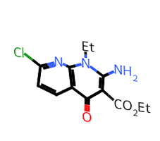 CCOC(=O)c1c(N)n(CC)c2nc(Cl)ccc2c1=O